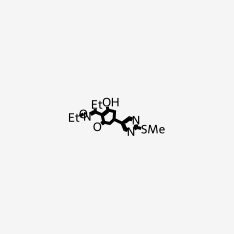 CCON=C(CC)C1=C(O)CC(c2cnc(SC)nc2)CC1=O